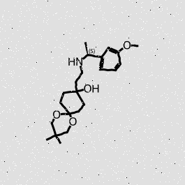 COc1cccc([C@H](C)NCCC2(O)CCC3(CC2)OCC(C)(C)CO3)c1